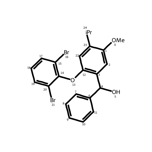 COc1cc(C(O)c2ccccc2)c(Oc2c(Br)[c]ccc2Br)cc1C(C)C